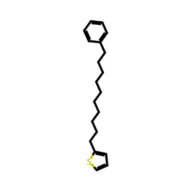 c1ccc(CCCCCCCCCCc2cccs2)cc1